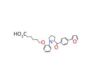 O=C(O)CCCCCOc1ccccc1N1CCCC1C(=O)c1ccc(-c2ccco2)cc1